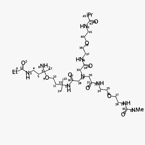 CCC(=O)NCCC(C)(N)OCCC(C)(C)NC(=O)CN(CC(=O)NCCOCCNC(=O)NC)CC(=O)NCCOCCNC(=O)C(C)C